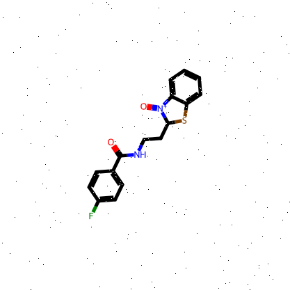 O=C(NCCC1Sc2ccccc2[N+]1=O)c1ccc(F)cc1